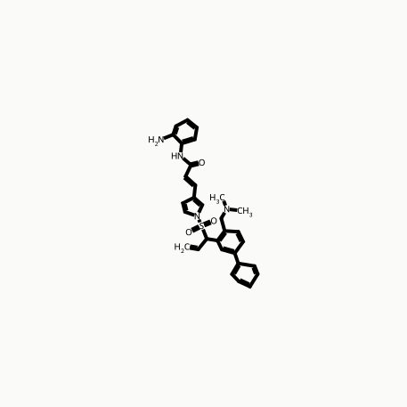 C=CC(c1cc(-c2ccccc2)ccc1CN(C)C)S(=O)(=O)n1ccc(/C=C/C(=O)Nc2ccccc2N)c1